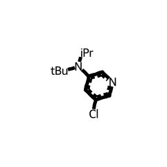 CC(C)N(c1cncc(Cl)c1)C(C)(C)C